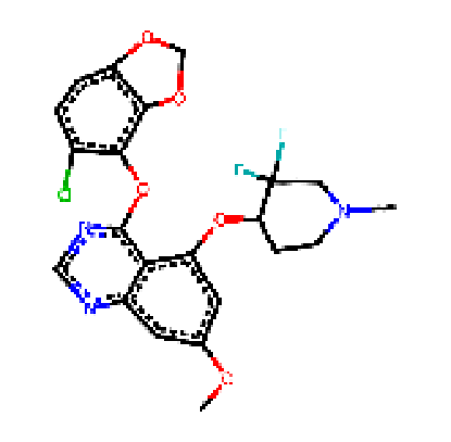 COc1cc(O[C@@H]2CCN(C)CC2(F)F)c2c(Oc3c(Cl)ccc4c3OCO4)ncnc2c1